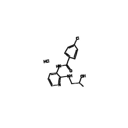 CC(O)CNc1ncccc1NC(=O)c1ccc(Cl)cc1.Cl